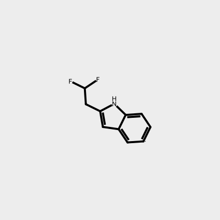 FC(F)Cc1cc2c[c]ccc2[nH]1